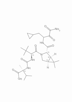 CC(C)[C@](C)(NC(=O)N[C@H](C(=O)N1C[C@H]2[C@@H]([C@H]1C(=O)NC(CC1CC1)C(=O)C(N)=O)C2(C)C)C(C)(C)C)C(=O)O